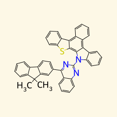 CC1(C)c2ccccc2-c2ccc(-c3nc(-n4c5ccccc5c5c6ccccc6c6c7ccccc7sc6c54)nc4ccccc34)cc21